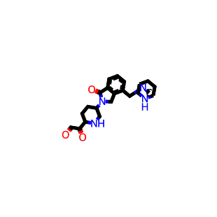 O=CC(=O)C1CCC(N2Cc3c(CN4CC5CCC4CN5)cccc3C2=O)CN1